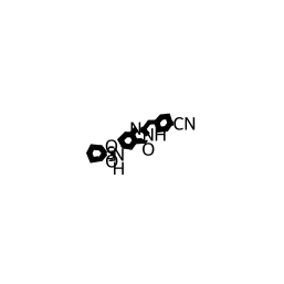 N#Cc1ccc(Cc2nc3ccc(NS(=O)(=O)c4ccccc4)cc3c(=O)[nH]2)cc1